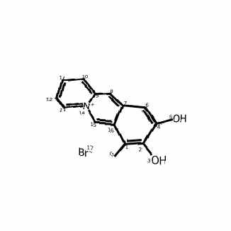 Cc1c(O)c(O)cc2cc3cccc[n+]3cc12.[Br-]